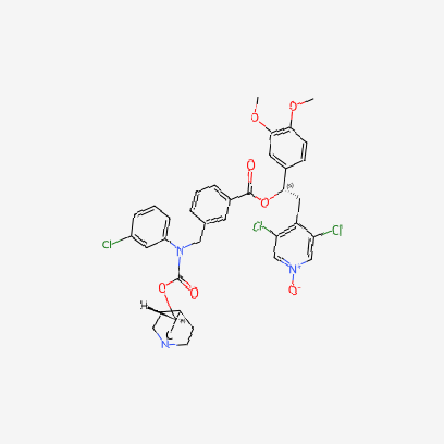 COc1ccc([C@H](Cc2c(Cl)c[n+]([O-])cc2Cl)OC(=O)c2cccc(CN(C(=O)O[C@H]3CN4CCC3CC4)c3cccc(Cl)c3)c2)cc1OC